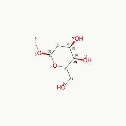 OCC1O[C@@H](OI)C[C@@H](O)[C@H]1O